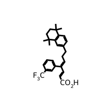 CC1(C)CCC(C)(C)c2cc(CCC=C(C=CC(=O)O)c3cccc(C(F)(F)F)c3)ccc21